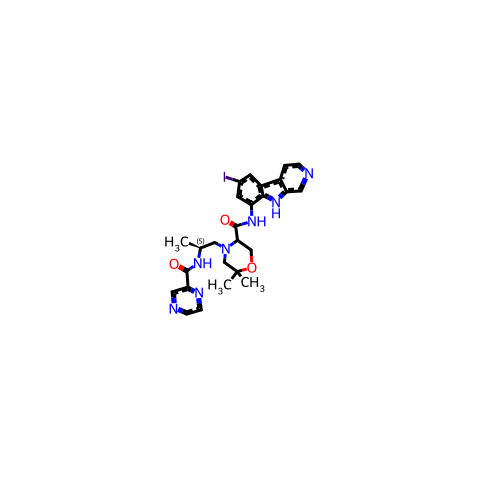 C[C@@H](CN1CC(C)(C)OCC1C(=O)Nc1cc(I)cc2c1[nH]c1cnccc12)NC(=O)c1cnccn1